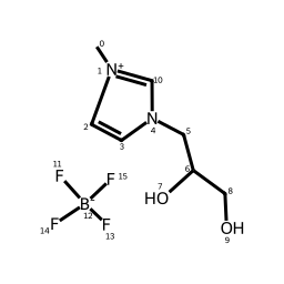 C[n+]1ccn(CC(O)CO)c1.F[B-](F)(F)F